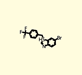 FC(F)(F)c1ccc(C[SH]2C=Nc3ccc(Br)cc32)cc1